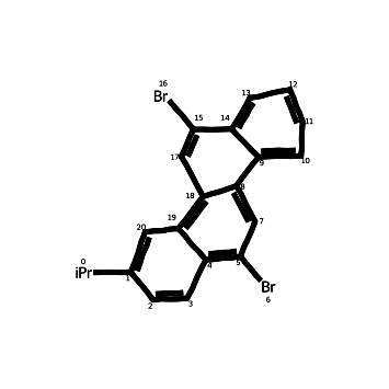 CC(C)c1ccc2c(Br)cc3c4ccccc4c(Br)cc3c2c1